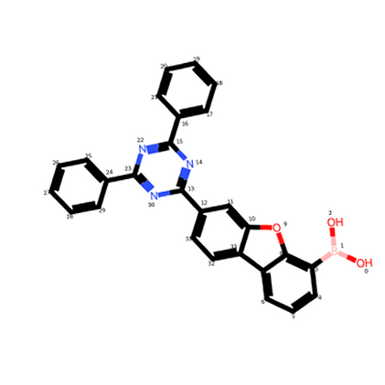 OB(O)c1cccc2c1oc1cc(-c3nc(-c4ccccc4)nc(-c4ccccc4)n3)ccc12